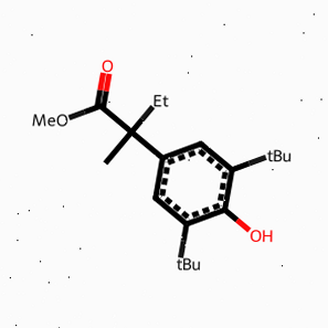 CCC(C)(C(=O)OC)c1cc(C(C)(C)C)c(O)c(C(C)(C)C)c1